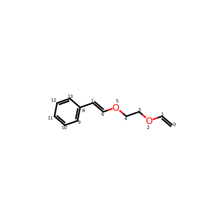 C=COCCO/C=C/c1ccccc1